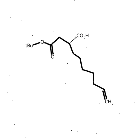 C=CCCCCC[C@H](CC(=O)OC(C)(C)C)C(=O)O